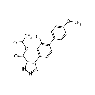 O=C(OC(=O)C(F)(F)F)c1[nH]nnc1-c1ccc(-c2ccc(OC(F)(F)F)cc2)c(Cl)c1